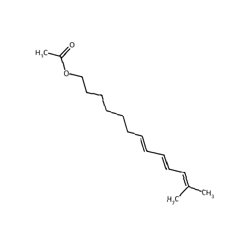 CC(=O)OCCCCCCC=CC=CC=C(C)C